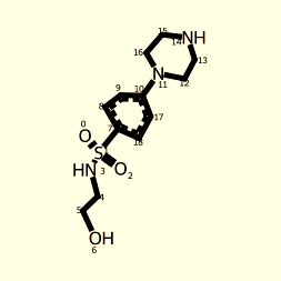 O=S(=O)(NCCO)c1ccc(N2CCNCC2)cc1